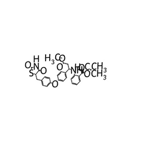 COC(=O)CC(Nc1ccccc1C(=O)OC(C)(C)C)c1ccc(Oc2ccc(CC3SC(=O)NC3=O)cc2)cc1